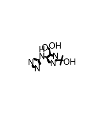 CC(C)(O)c1ncc(Nc2cncnc2)c(C(=O)O)n1